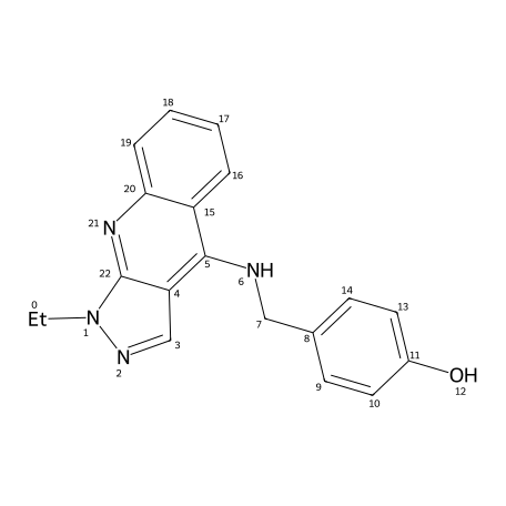 CCn1ncc2c(NCc3ccc(O)cc3)c3ccccc3nc21